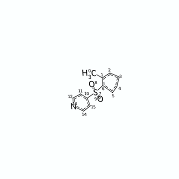 Cc1ccccc1S(=O)(=O)c1ccncc1